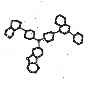 c1ccc(-c2cc(-c3ccc(N(c4ccc(-c5cccc6ccccc56)cc4)c4ccc5c(c4)oc4ccccc45)cc3)c3ccccc3c2)cc1